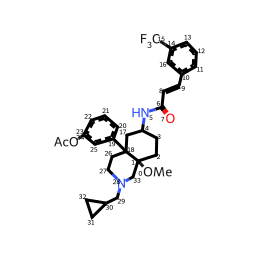 COC12CCC(NC(=O)/C=C/c3cccc(C(F)(F)F)c3)CC1(c1cccc(OC(C)=O)c1)CCN(CC1CC1)C2